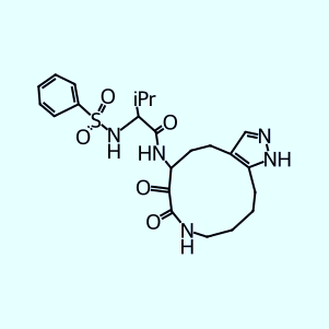 CC(C)C(NS(=O)(=O)c1ccccc1)C(=O)NC1CCc2cn[nH]c2CCCCNC(=O)C1=O